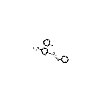 CC(C)c1ccc(N)cc1.Cc1ccccc1.O=C=Nc1ccccc1